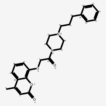 Cc1cc(=O)oc2c(OCC(=O)N3CCN(CCCc4ccccc4)CC3)cccc12